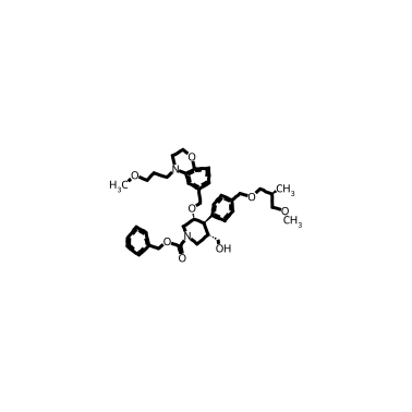 COCCCN1CCOc2ccc(CO[C@H]3CN(C(=O)OCc4ccccc4)C[C@@H](CO)[C@@H]3c3ccc(COC[C@@H](C)COC)cc3)cc21